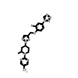 CC1CC(n2ncc(COc3ccc(-n4cnnn4)cc3F)n2)CCN1c1ncc(C(F)(F)F)cn1